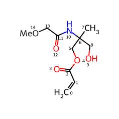 C=CC(=O)OCC(C)(CO)NC(=O)COC